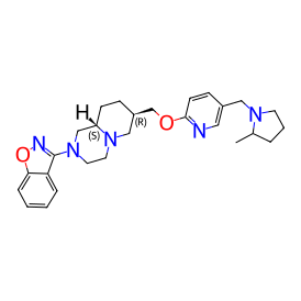 CC1CCCN1Cc1ccc(OC[C@@H]2CC[C@H]3CN(c4noc5ccccc45)CCN3C2)nc1